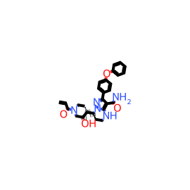 C=CC(=O)N1CC[C@H]([C@@H]2CCNc3c(C(N)=O)c(-c4ccc(Oc5ccccc5)cc4)nn32)[C@@H](O)C1